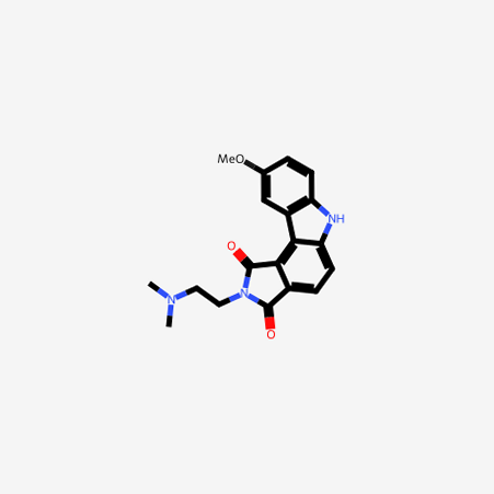 COc1ccc2[nH]c3ccc4c(c3c2c1)C(=O)N(CCN(C)C)C4=O